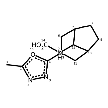 Cc1nnc(N2CC3CCC(C2)C3NC(=O)O)o1